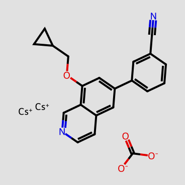 N#Cc1cccc(-c2cc(OCC3CC3)c3cnccc3c2)c1.O=C([O-])[O-].[Cs+].[Cs+]